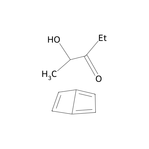 CCC(=O)C(C)O.c1cc2ccc1-2